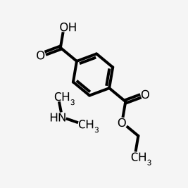 CCOC(=O)c1ccc(C(=O)O)cc1.CNC